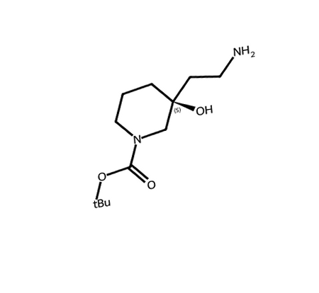 CC(C)(C)OC(=O)N1CCC[C@](O)(CCN)C1